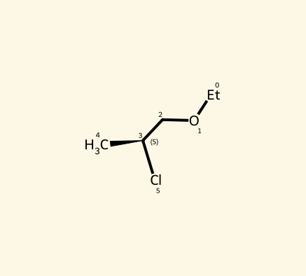 CCOC[C@H](C)Cl